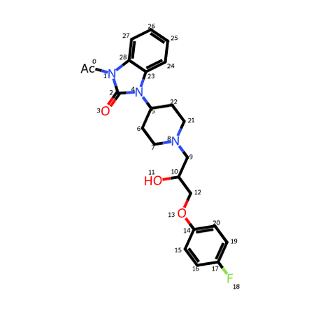 CC(=O)n1c(=O)n(C2CCN(CC(O)COc3ccc(F)cc3)CC2)c2ccccc21